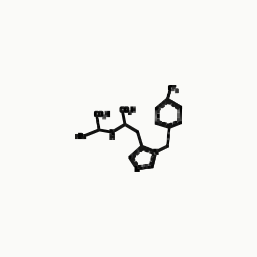 CCCCC(NC(Cc1cncn1Cc1ccc(C(F)(F)F)cc1)C(=O)O)C(=O)O